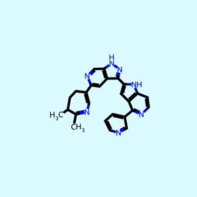 CC1=NC=C(c2cc3c(-c4cc5c(-c6cccnc6)nccc5[nH]4)n[nH]c3cn2)CCC1C